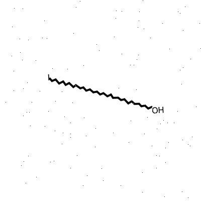 OCCCCCCCCCCCCCCCCCCCCCCCCCCCCCCI